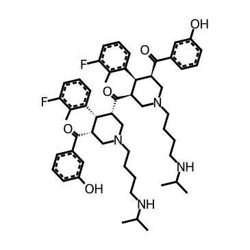 Cc1c(F)cccc1[C@H]1[C@@H](C(=O)c2cccc(O)c2)CN(CCCCNC(C)C)C[C@H]1C(=O)[C@@H]1CN(CCCCNC(C)C)C[C@H](C(=O)c2cccc(O)c2)[C@@H]1c1cccc(F)c1C